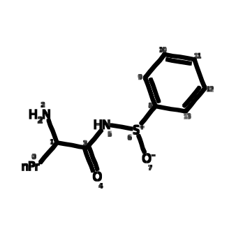 CCCC(N)C(=O)N[S+]([O-])c1ccccc1